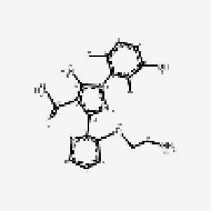 Cc1ccc(O)c(C)c1-n1nc(-c2ncccc2OCCN)c(C(N)=O)c1N